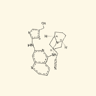 N#CCCN1[C@@H]2CCC[C@H]1C[C@H](Nc1nc(Nc3ncc(CO)s3)cc3ncccc13)C2